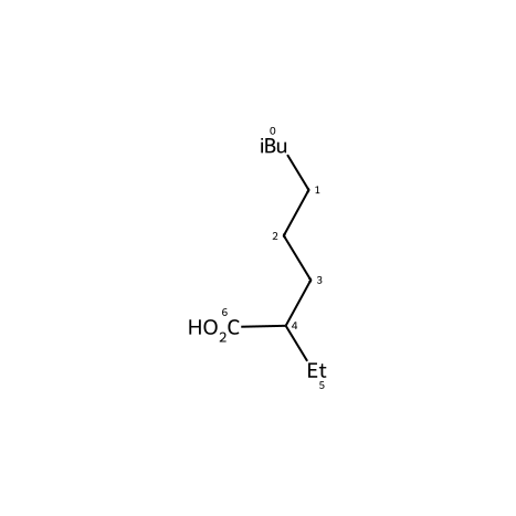 CCC(C)CCCC(CC)C(=O)O